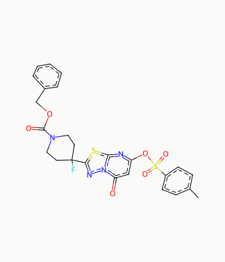 Cc1ccc(S(=O)(=O)Oc2cc(=O)n3nc(C4(F)CCN(C(=O)OCc5ccccc5)CC4)sc3n2)cc1